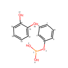 OP(O)Oc1ccccc1.Oc1ccccc1O